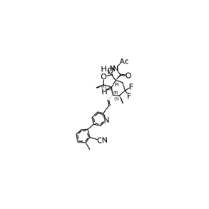 CC(=O)N(N)C(=O)[C@@]12CC(F)(F)[C@@H](C)[C@H](C=Cc3ccc(-c4cccc(C)c4C#N)cn3)[C@@H]1[C@@H](C)OC2=O